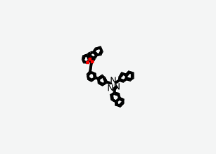 C1=CC2=C(CC1)C1C3=C(CCC=C3)C23c2cc(-c4cccc(-c5ccc(-c6nc(-c7ccc8ccccc8c7)nc(-c7ccc8ccccc8c7)n6)cc5)c4)ccc2C13